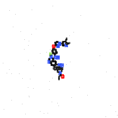 C=CC(=O)N1CCC(Nc2cc3c(Nc4ccc(Oc5ccn(-c6cnc(C)c(C)c6)n5)cc4F)ncnc3cc2OC)CC1